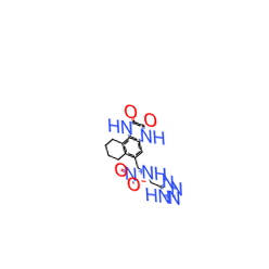 O=c1[nH]c2cc(C(NCc3nnn[nH]3)[N+](=O)[O-])c3c(c2[nH]c1=O)CCCC3